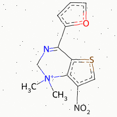 C[N+]1(C)CN=C(c2ccco2)c2scc([N+](=O)[O-])c21